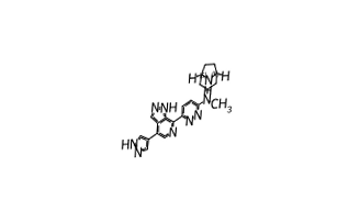 CN(c1ccc(-c2ncc(-c3cn[nH]c3)c3cn[nH]c23)nn1)C1C[C@H]2CC[C@@H](C1)N2